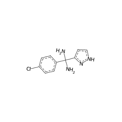 NC(N)(c1ccc(Cl)cc1)c1cc[nH]n1